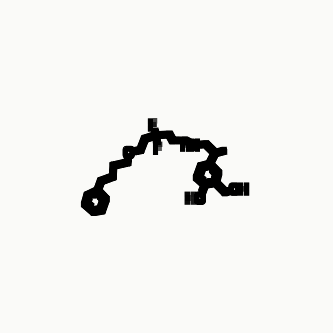 CC(CNCCCC(F)(F)CCOCCCCc1ccccc1)c1ccc(O)c(CO)c1